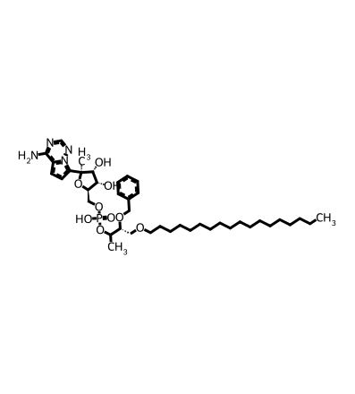 CCCCCCCCCCCCCCCCCCOC[C@@H](OCc1ccccc1)C(C)OP(=O)(O)OC[C@H]1O[C@@](C)(c2ccc3c(N)ncnn23)[C@H](O)[C@@H]1O